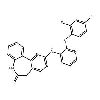 O=C1Cc2cnc(Nc3cccnc3Oc3ccc(F)cc3F)nc2-c2ccccc2N1